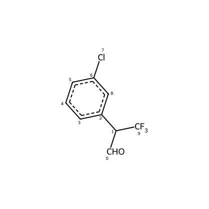 O=CC(c1cccc(Cl)c1)C(F)(F)F